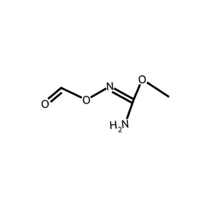 CO/C(N)=N/OC=O